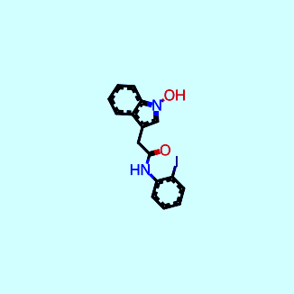 O=C(Cc1cn(O)c2ccccc12)Nc1ccccc1I